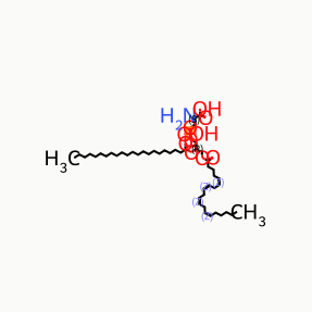 CCCCC/C=C\C/C=C\C/C=C\C/C=C\CCCC(=O)OC[C@H](COP(=O)(O)OC[C@H](N)C(=O)O)OC(=O)CCCCCCCCCCCCCCCCCCCCC